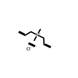 C=CC[N+](C)(C)CC=C.[CH]=C.[Cl-]